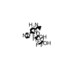 NC1(c2ccc(-n3ccnc3)cn2)CC1.O=C(O)C(F)(F)F.O=C(O)C(F)(F)F